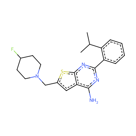 CC(C)c1ccccc1-c1nc(N)c2cc(CN3CCC(F)CC3)sc2n1